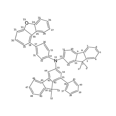 CC1(C)c2ccccc2-c2ccc(N(c3ccc(-c4cccc5oc6ccccc6c45)cc3)c3cc(-c4ccccc4)c4c(c3)-c3ccccc3C4(C)C)cc21